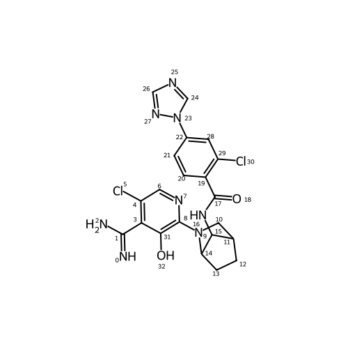 N=C(N)c1c(Cl)cnc(N2CC3CCC2C3NC(=O)c2ccc(-n3cncn3)cc2Cl)c1O